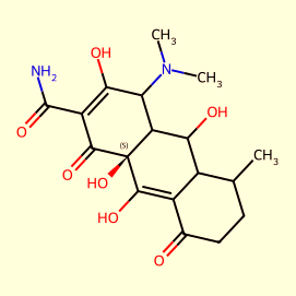 CC1CCC(=O)C2=C(O)[C@]3(O)C(=O)C(C(N)=O)=C(O)C(N(C)C)C3C(O)C21